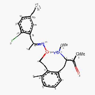 CONC(C(=O)OC)c1cccc(C)c1CO/N=C(\C)c1cc(C(F)(F)F)ccc1F